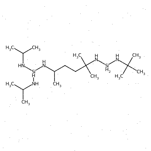 CC(C)N[SiH](NC(C)C)NC(C)CCC(C)(C)N[SiH2]NC(C)(C)C